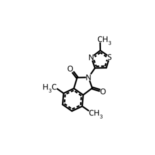 Cc1nc(N2C(=O)c3c(C)ccc(C)c3C2=O)cs1